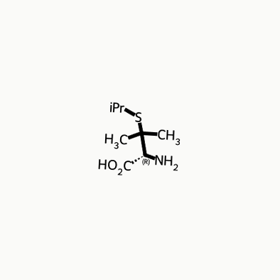 CC(C)SC(C)(C)[C@H](N)C(=O)O